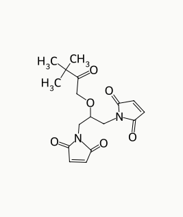 CC(C)(C)C(=O)COC(CN1C(=O)C=CC1=O)CN1C(=O)C=CC1=O